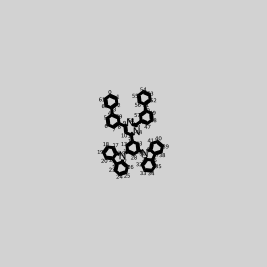 c1ccc(-c2cccc(-c3cc(-c4cc(-n5c6ccccc6c6ccccc65)cc(-n5c6ccccc6c6ccccc65)c4)nc(-c4cccc(-c5ccccc5)c4)n3)c2)cc1